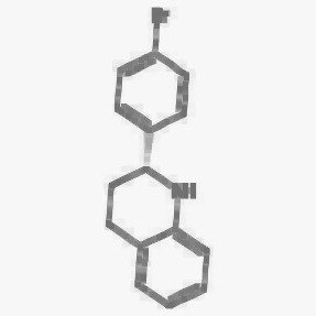 Brc1ccc([C@H]2CCc3ccccc3N2)cc1